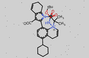 CC(C)(C)OC(=O)N[N@@+]12C=CCc3c(C4CCCCC4)ccc(c31)-c1c(C(=O)[O-])c3c(n1C(=O)C2(C)C)CCC=C3